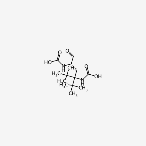 CC(C)(C)C(C[C@@H](C=O)NC(=O)O)(NC(=O)O)C(C)(C)C